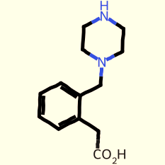 O=C(O)Cc1ccccc1CN1CCNCC1